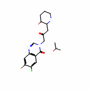 CC(O)C(=O)O.O=C(CC1NCCCC1O)Cn1cnc2cc(Br)c(Cl)cc2c1=O